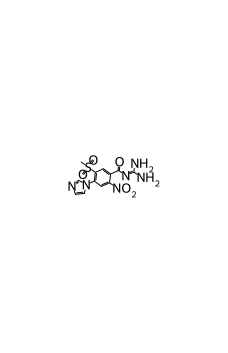 CS(=O)(=O)c1cc(C(=O)N=C(N)N)c([N+](=O)[O-])cc1-n1ccnc1